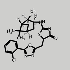 C[C@H]1[C@@H](NC2=NC(=O)C(Cc3nnc(-c4ccccc4Cl)o3)S2)C[C@@H]2C[C@@H]1C2(C)C